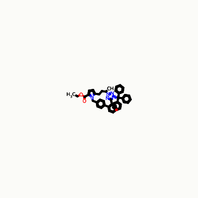 CCCCc1ccc(C(=O)OCC)n1Cc1ccc(-c2ccccc2-c2nnnn2C(c2ccccc2)(c2ccccc2)c2ccccc2)cc1